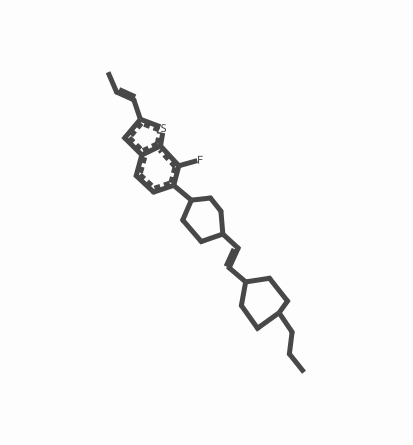 C/C=C/c1cc2ccc(C3CCC(/C=C/C4CCC(CCC)CC4)CC3)c(F)c2s1